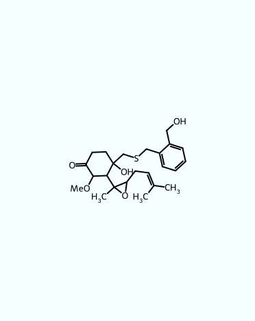 COC1C(=O)CCC(O)(CSCc2ccccc2CO)C1C1(C)OC1CC=C(C)C